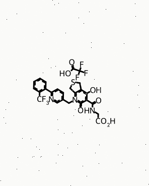 O=C(O)C(F)(F)F.O=C(O)CNC(=O)c1c(O)c2c(n(Cc3ccc(-c4ccccc4C(F)(F)F)nc3)c1=O)CSC2